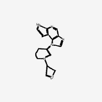 c1cc2c(ncc3ncn(C4CCCN(C5COC5)C4)c32)[nH]1